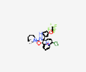 O=C(NC(Cc1ccccc1)(c1cccc(OC(F)(F)C(F)F)c1)c1ccc(Cl)cn1)N1CCCCCCC1